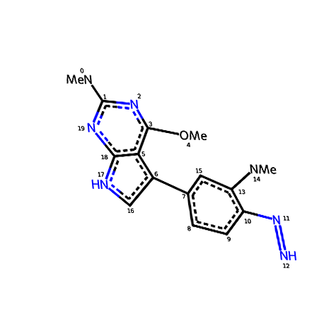 CNc1nc(OC)c2c(-c3ccc(N=N)c(NC)c3)c[nH]c2n1